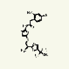 C=C(CSc1cnc(NC(=O)Cc2ccc(Br)cc2C)s1)c1ncc(C(C)(C)C)o1